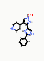 On1cc(C2CCNCC2)c(-c2c[nH]c(-c3ccccc3)n2)n1